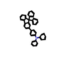 c1ccc(N(c2ccccc2)c2ccc(-c3ccc4c(c3)C(c3ccccc3)(c3ccccc3)c3ccccc3-4)cc2)cc1